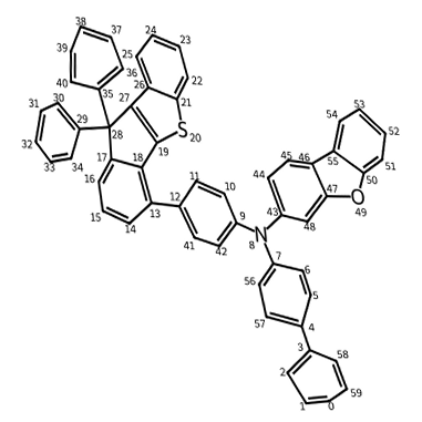 c1ccc(-c2ccc(N(c3ccc(-c4cccc5c4-c4sc6ccccc6c4C5(c4ccccc4)c4ccccc4)cc3)c3ccc4c(c3)oc3ccccc34)cc2)cc1